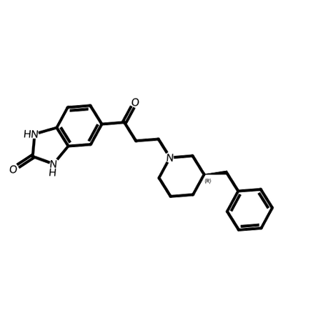 O=C(CCN1CCC[C@H](Cc2ccccc2)C1)c1ccc2[nH]c(=O)[nH]c2c1